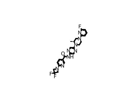 C[C@H]1CN(c2cccc(F)n2)CCN1c1cnc(NC(=O)c2ccc(N3CC(F)(F)C3)nc2)cn1